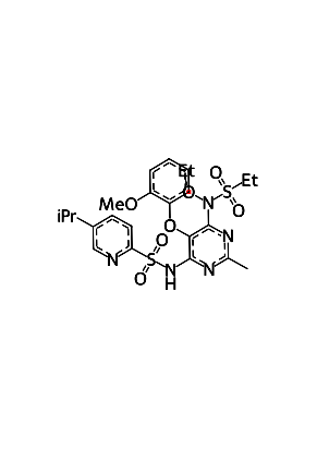 CCON(c1nc(C)nc(NS(=O)(=O)c2ccc(C(C)C)cn2)c1Oc1ccccc1OC)S(=O)(=O)CC